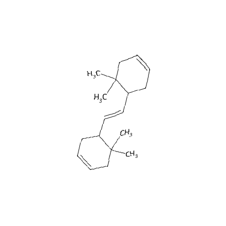 CC1(C)CC=CCC1C=CC1CC=CCC1(C)C